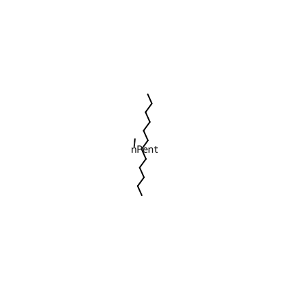 CCCCCC.CCCCCCCCCCCC